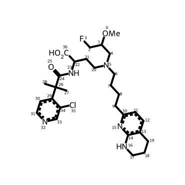 COC(CF)CN(CCCCc1ccc2c(n1)NCCC2)CCC(NC(=O)C(C)(C)c1ccncc1Cl)C(=O)O